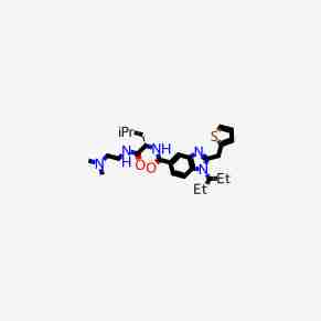 CCC(CC)n1c(Cc2cccs2)nc2cc(C(=O)N[C@@H](CC(C)C)C(=O)NCCN(C)C)ccc21